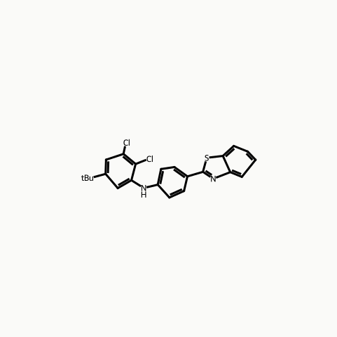 CC(C)(C)c1cc(Cl)c(Cl)c(Nc2ccc(-c3nc4ccccc4s3)cc2)c1